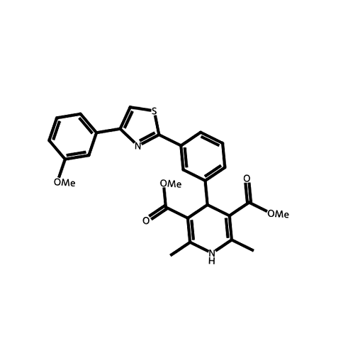 COC(=O)C1=C(C)NC(C)=C(C(=O)OC)C1c1cccc(-c2nc(-c3cccc(OC)c3)cs2)c1